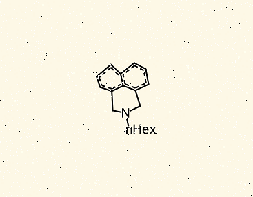 CCCCCCN1Cc2cccc3cccc(c23)C1